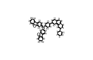 c1ccc(-c2ccc3ccc4ccc(-c5ccc(N(c6ccc7c(c6)oc6ccccc67)c6ccc7c(c6)oc6ccccc67)cc5)cc4c3c2)cc1